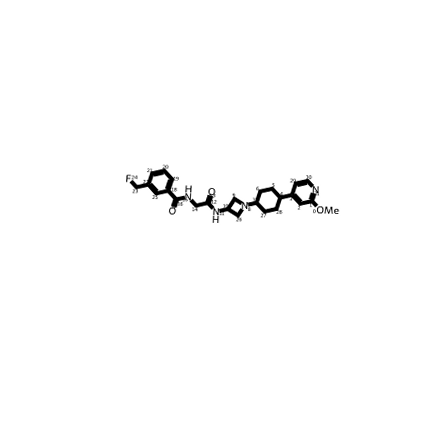 COc1cc(C2CCC(N3CC(NC(=O)CNC(=O)c4cccc(CF)c4)C3)CC2)ccn1